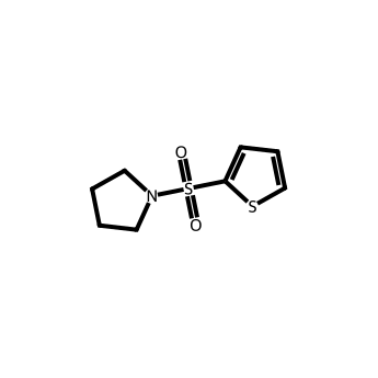 O=S(=O)(c1cccs1)N1CCCC1